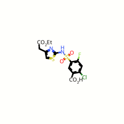 CCOC(=O)Cc1csc(NS(=O)(=O)c2cc(C(=O)O)c(Cl)cc2F)n1